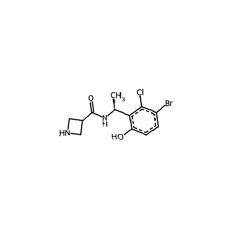 C[C@H](NC(=O)C1CNC1)c1c(O)ccc(Br)c1Cl